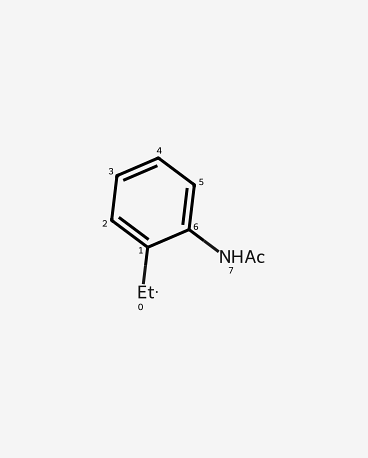 C[CH]c1ccccc1NC(C)=O